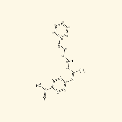 C/C(=C/c1ccc(C(=O)O)cc1)CNCCOc1ccccc1